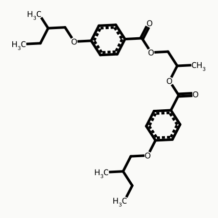 CCC(C)COc1ccc(C(=O)OCC(C)OC(=O)c2ccc(OCC(C)CC)cc2)cc1